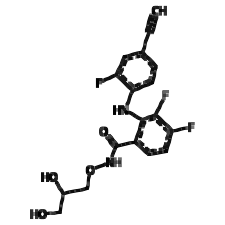 C#Cc1ccc(Nc2c(C(=O)NOCC(O)CO)ccc(F)c2F)c(F)c1